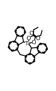 CCC(=O)[O][Ti]1([O]C(=O)CC)[CH]2c3ccccc3-c3cccc(c32)Cc2cccc3c2[CH]1c1ccccc1-3